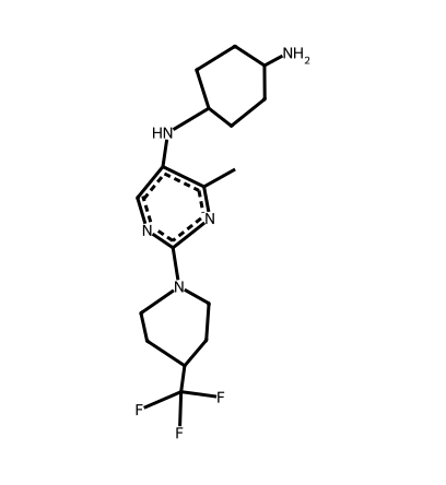 Cc1nc(N2CCC(C(F)(F)F)CC2)ncc1NC1CCC(N)CC1